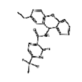 CCc1ccc2c(c1)C(NC(=O)c1ccc(C(F)(F)F)[nH]c1=O)c1ccccc1O2